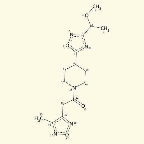 COC(C)c1noc(C2CCN(C(=O)Cc3nonc3C)CC2)n1